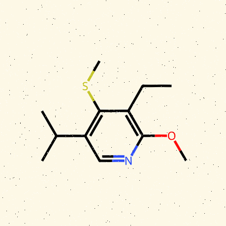 CCc1c(OC)ncc(C(C)C)c1SC